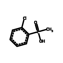 CP(=O)(O)c1ccccc1Cl